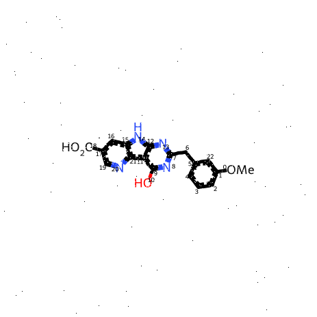 COc1cccc(Cc2nc(O)c3c(n2)[nH]c2cc(C(=O)O)cnc23)c1